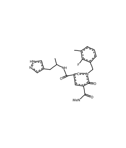 CNC(=O)c1cc(C(=O)NC(C)Cc2cn[nH]c2)cn(Cc2cccc(C)c2F)c1=O